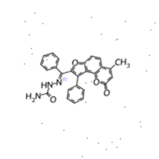 Cc1cc(=O)oc2c1ccc1oc(/C(=N/NC(N)=O)c3ccccc3)c(-c3ccccc3)c12